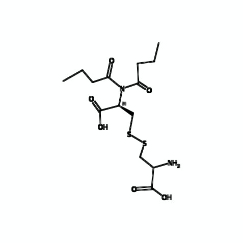 CCCC(=O)N(C(=O)CCC)[C@@H](CSSCC(N)C(=O)O)C(=O)O